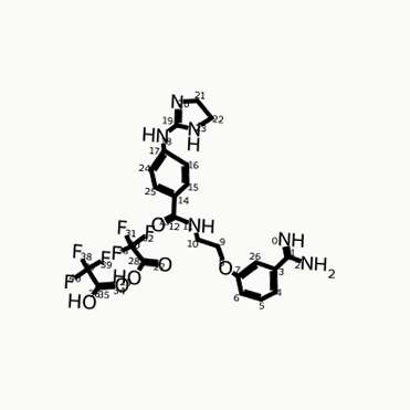 N=C(N)c1cccc(OCCNC(=O)c2ccc(NC3=NCCN3)cc2)c1.O=C(O)C(F)(F)F.O=C(O)C(F)(F)F